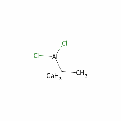 C[CH2][Al]([Cl])[Cl].[GaH3]